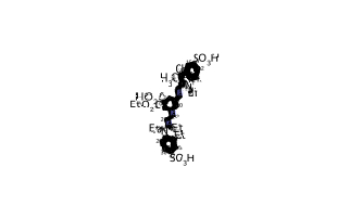 CCOC(=O)C1(C(=O)O)CC(/C=C/C2=[N+](CC)c3ccc(S(=O)(=O)O)cc3C2(C)C)=CC(=C/C=C(\CC)N(CC)c2ccc(S(=O)(=O)O)cc2CC)/C1